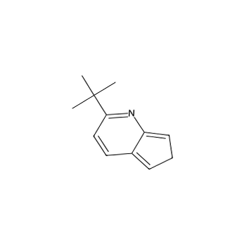 CC(C)(C)c1ccc2c(n1)=CCC=2